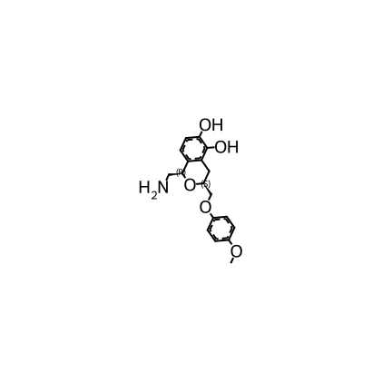 COc1ccc(OC[C@@H]2Cc3c(ccc(O)c3O)[C@H](CN)O2)cc1